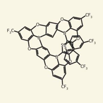 FC(F)(F)c1cc2c3c(c1)Oc1cc4c(cc1B3c1cc3c(cc1O2)Oc1cc(C(F)(F)F)cc2c1B3c1sc3ccc(C(F)(F)F)cc3c1O2)B1c2sc3ccc(C(F)(F)F)cc3c2Oc2cc(C(F)(F)F)cc(c21)O4